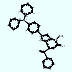 Cn1c(=O)cc(C(=O)c2ccccc2)c2sc(-c3ccc(N(c4ccccc4)c4ccccc4)cc3)cc21